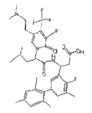 Cc1cc(C)c(-c2cc(C)c(F)c(C(CC(=O)O)NC(=O)C(CC(C)C)n3cc(CCN(C)C)c(C(F)(F)F)c(F)c3=O)c2)c(C)c1